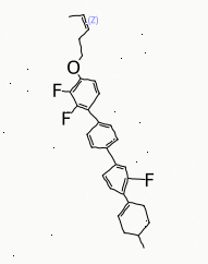 C/C=C\CCOc1ccc(-c2ccc(-c3ccc(C4=CCC(C)CC4)c(F)c3)cc2)c(F)c1F